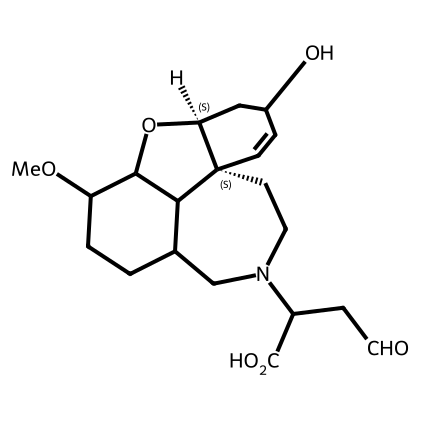 COC1CCC2CN(C(CC=O)C(=O)O)CC[C@@]34C=CC(O)C[C@@H]3OC1C24